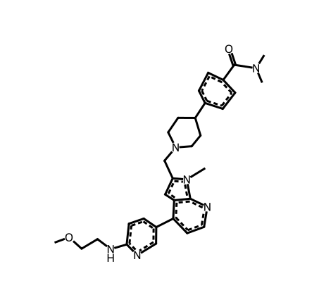 COCCNc1ccc(-c2ccnc3c2cc(CN2CCC(c4ccc(C(=O)N(C)C)cc4)CC2)n3C)cn1